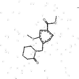 COC(=O)c1ccc(CN2CCCCC2=O)c(OC)c1